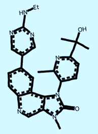 CCNc1ncc(-c2ccc3ncc4c(c3c2)n(-c2ccc(C(C)(C)O)nc2C)c(=O)n4C)cn1